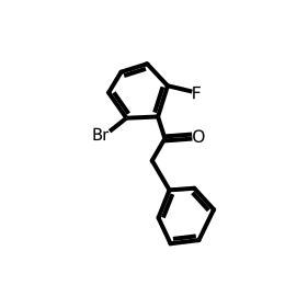 O=C(Cc1ccccc1)c1c(F)cccc1Br